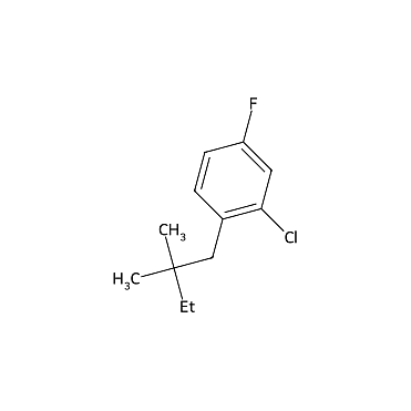 CCC(C)(C)Cc1ccc(F)cc1Cl